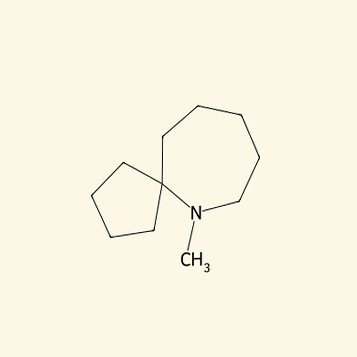 CN1CCCCCC12CCCC2